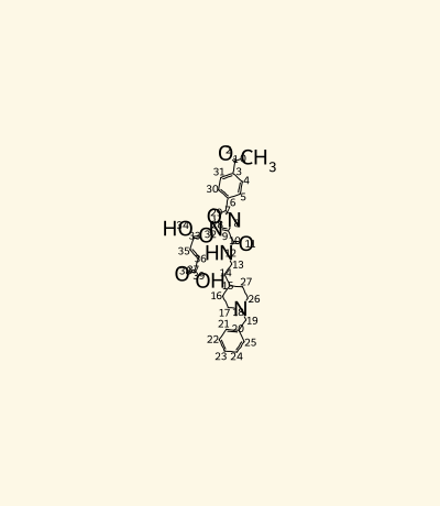 CC(=O)c1ccc(-c2nc(C(=O)NCCC3CCN(Cc4ccccc4)CC3)no2)cc1.O=C(O)C=CC(=O)O